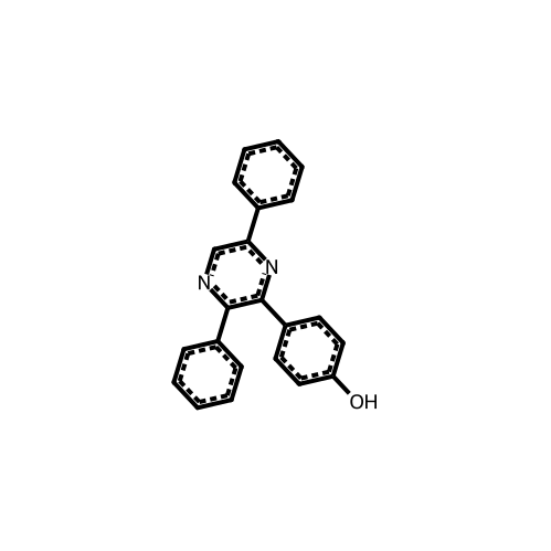 Oc1ccc(-c2nc(-c3ccccc3)cnc2-c2ccccc2)cc1